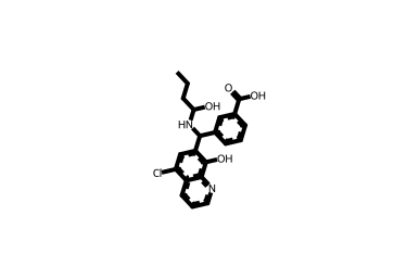 CCCC(O)NC(c1cccc(C(=O)O)c1)c1cc(Cl)c2cccnc2c1O